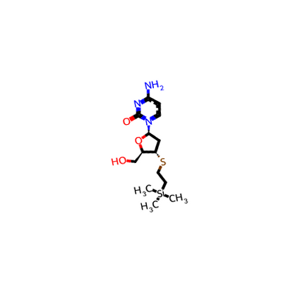 C[Si](C)(C)CCS[C@H]1C[C@H](n2ccc(N)nc2=O)O[C@@H]1CO